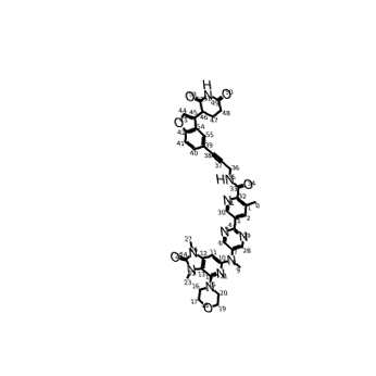 Cc1cc(-c2ncc(N(C)c3cc4c(c(N5CCOCC5)n3)n(C)c(=O)n4C)cn2)cnc1C(=O)NCC#Cc1ccc2occ(C3CCC(=O)NC3=O)c2c1